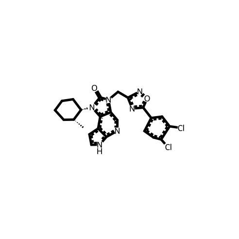 C[C@@H]1CCCC[C@@H]1n1c(=O)n(Cc2noc(-c3ccc(Cl)c(Cl)c3)n2)c2cnc3[nH]ccc3c21